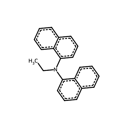 CCN(c1cccc2ccccc12)c1cccc2ccccc12